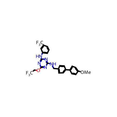 COc1ccc(-c2ccc(CNc3nc(Nc4cccc(C(F)(F)F)c4)nc(OCC(F)(F)F)n3)cc2)cc1